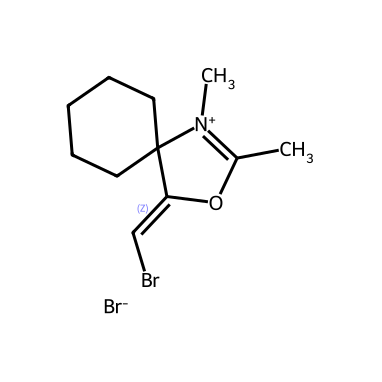 CC1=[N+](C)C2(CCCCC2)/C(=C/Br)O1.[Br-]